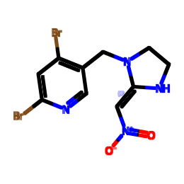 O=[N+]([O-])/C=C1\NCCN1Cc1cnc(Br)cc1Br